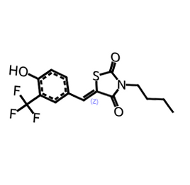 CCCCN1C(=O)S/C(=C\c2ccc(O)c(C(F)(F)F)c2)C1=O